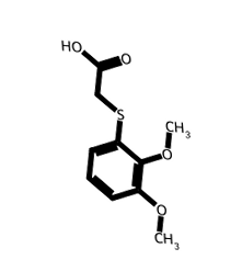 COc1cccc(SCC(=O)O)c1OC